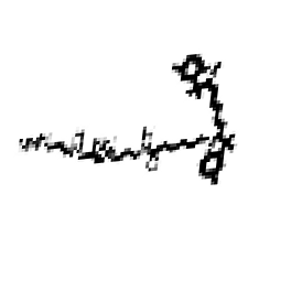 Cc1ccc2c(c1)C(C)(C)C(/C=C/C=C/C=C1/N(C)c3ccc(C)cc3C1(C)C)=[N+]2CCCCCC(=O)NCCCn1cc(CNCCCN=[N+]=[N-])nn1